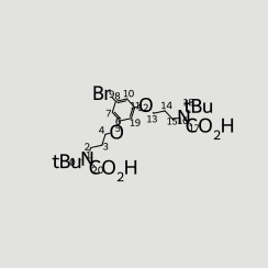 CC(C)(C)N(CCCOc1cc(Br)cc(OCCCN(C(=O)O)C(C)(C)C)c1)C(=O)O